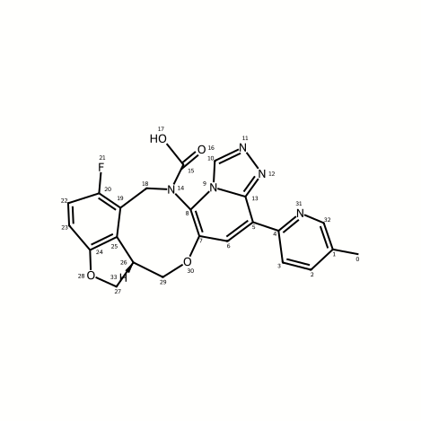 Cc1ccc(-c2cc3c(n4cnnc24)N(C(=O)O)Cc2c(F)ccc4c2[C@@H](CO4)CO3)nc1